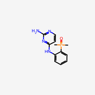 CP(C)(=O)c1ccccc1Nc1ccnc(N)n1